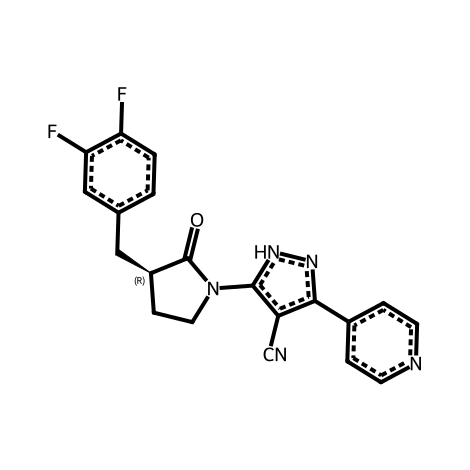 N#Cc1c(-c2ccncc2)n[nH]c1N1CC[C@@H](Cc2ccc(F)c(F)c2)C1=O